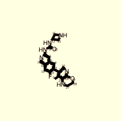 Cc1c(-c2cc3cc(NC(=O)NC4CNC4)ncc3cc2F)cnc2c1NCCO2